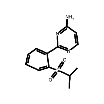 CC(C)S(=O)(=O)c1ccccc1-c1nccc(N)n1